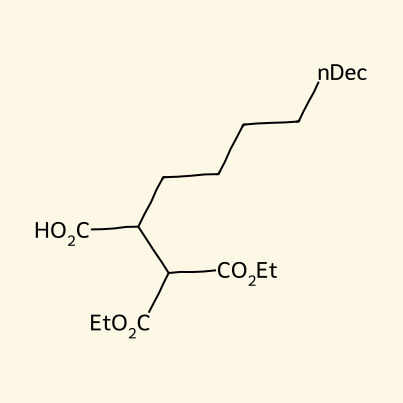 CCCCCCCCCCCCCCC(C(=O)O)C(C(=O)OCC)C(=O)OCC